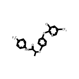 CC(Oc1ccc(Oc2ncc(C(F)(F)F)cc2Cl)cc1)C(=O)Nc1ccc(C(F)(F)F)cc1